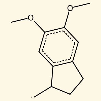 [CH2]C1CCc2cc(OC)c(OC)cc21